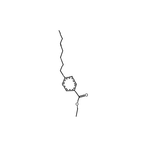 CCCCCCCc1ccc(C(=O)OCC)cc1